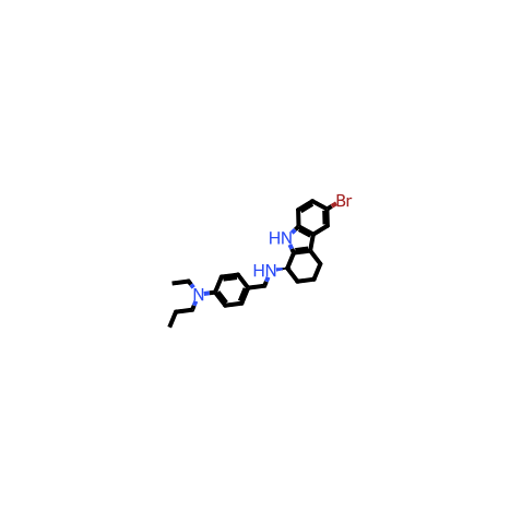 CCCN(CC)c1ccc(CN[C@@H]2CCCc3c2[nH]c2ccc(Br)cc32)cc1